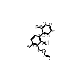 C=COCc1c(C)ccc(-c2ccccc2F)c1Cl